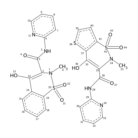 CN1C(C(=O)Nc2ccccn2)=C(O)c2ccccc2S1(=O)=O.CN1C(C(=O)Nc2ccccn2)=C(O)c2sccc2S1(=O)=O